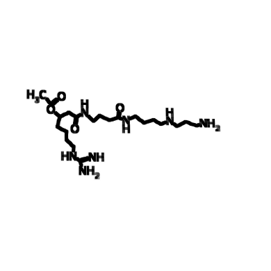 CC(=O)OC(CCCCNC(=N)N)CC(=O)NCCCC(=O)NCCCCNCCCN